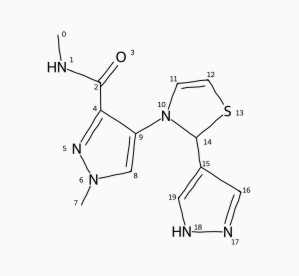 CNC(=O)c1nn(C)cc1N1C=CSC1c1cn[nH]c1